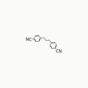 N#Cc1ccc(CCCc2ccc(C#N)cc2)cc1